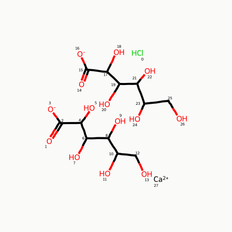 Cl.O=C([O-])C(O)C(O)C(O)C(O)CO.O=C([O-])C(O)C(O)C(O)C(O)CO.[Ca+2]